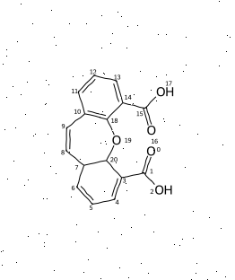 O=C(O)C1=CC=CC2C=Cc3cccc(C(=O)O)c3OC12